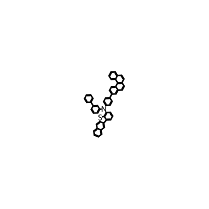 c1ccc(-c2cccc(N(c3ccc(-c4ccc5c(ccc6ccc7ccccc7c65)c4)cc3)c3cccc4c3sc3cc5ccccc5cc34)c2)cc1